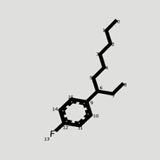 CCCCCCC(CC)c1ccc(F)cc1